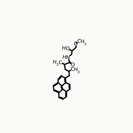 COCC(O)CNC(=O)C(C)CC(C)Cc1ccc2ccc3cccc4ccc1c2c34